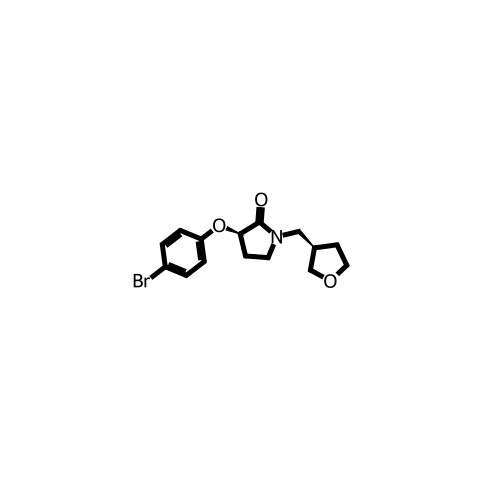 O=C1[C@H](Oc2ccc(Br)cc2)CCN1C[C@H]1CCOC1